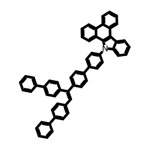 C(=C(/c1ccc(-c2ccccc2)cc1)c1ccc(-c2ccc(-n3c4ccccc4c4c5ccccc5c5ccccc5c43)cc2)cc1)/c1ccc(-c2ccccc2)cc1